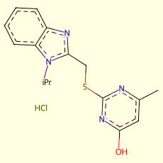 Cc1cc(O)nc(SCc2nc3ccccc3n2C(C)C)n1.Cl